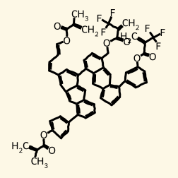 C=C(C)C(=O)O/C=C/C=C\c1cc(-c2ccc(COC(=O)C(=C)C(F)(F)F)c3cc4c(-c5cccc(OC(=O)C(=C)C(F)(F)F)c5)cccc4cc23)c2cc3cccc(-c4ccc(OC(=O)C(=C)C)cc4)c3cc2c1